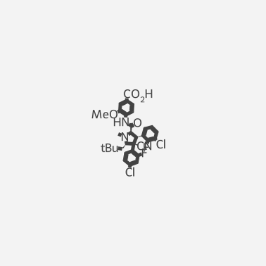 COc1cc(C(=O)O)ccc1NC(=O)[C@H]1[C@H](c2cccc(Cl)c2F)[C@@](C#N)(c2ccc(Cl)cc2F)[C@H](CC(C)(C)C)N1C